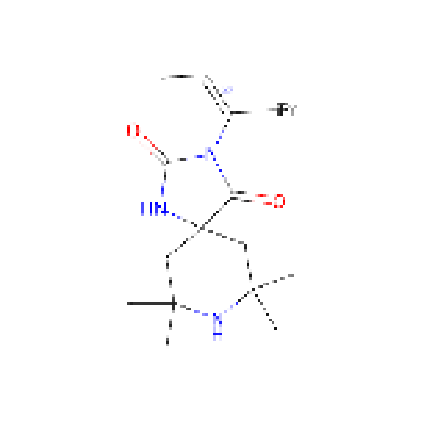 C/C=C(/C(C)C)N1C(=O)NC2(CC(C)(C)NC(C)(C)C2)C1=O